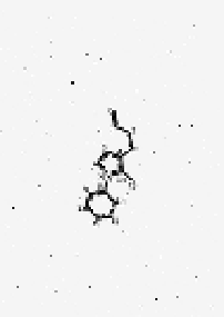 C=C/C=C\c1ccn(-c2ccccc2)c1C